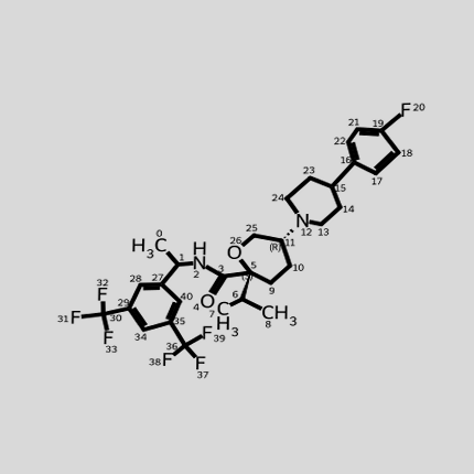 CC(NC(=O)[C@@]1(C(C)C)CC[C@@H](N2CCC(c3ccc(F)cc3)CC2)CO1)c1cc(C(F)(F)F)cc(C(F)(F)F)c1